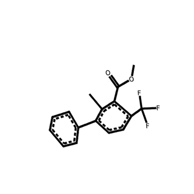 COC(=O)c1c(C(F)(F)F)ccc(-c2ccccc2)c1C